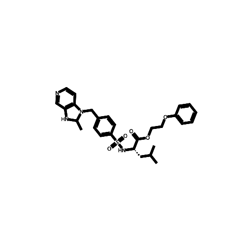 CC(C)C[C@H](NS(=O)(=O)c1ccc(CN2c3ccncc3NC2C)cc1)C(=O)OCCOc1ccccc1